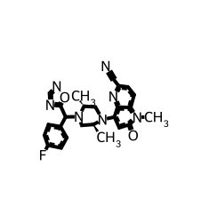 C[C@@H]1CN(c2cc(=O)n(C)c3ccc(C#N)nc23)[C@@H](C)CN1C(c1ccc(F)cc1)c1ncno1